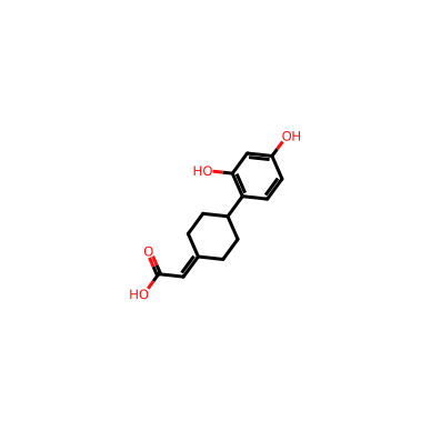 O=C(O)C=C1CCC(c2ccc(O)cc2O)CC1